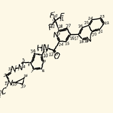 CN(/C=N\N=C\c1cccc(NC(=O)c2cc(-c3cnc4ccccc4c3)cc(C(F)(F)F)n2)c1)C1CC1